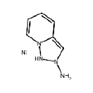 NN1C=C2C=CC=CN2N1.[N]